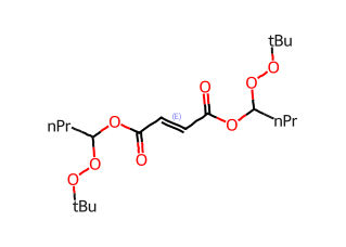 CCCC(OOC(C)(C)C)OC(=O)/C=C/C(=O)OC(CCC)OOC(C)(C)C